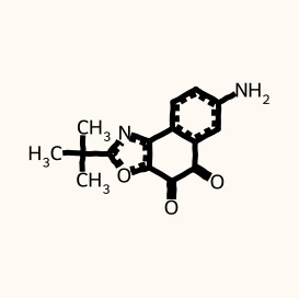 CC(C)(C)c1nc2c(o1)C(=O)C(=O)c1cc(N)ccc1-2